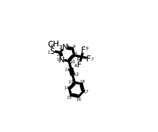 CSc1ncc(C(F)(F)F)c(C#Cc2ccccc2)n1